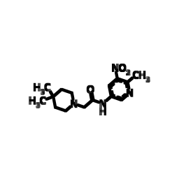 Cc1ncc(NC(=O)CN2CCC(C)(C)CC2)cc1[N+](=O)[O-]